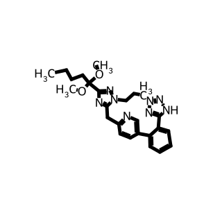 CCCCC(OC)(OC)c1nc(Cc2ccc(-c3ccccc3-c3nnn[nH]3)cn2)n(CCC)n1